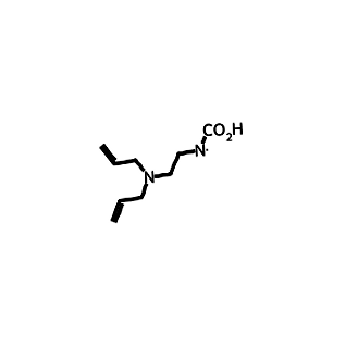 C=CCN(CC=C)CC[N]C(=O)O